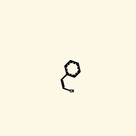 N#C/C=C\c1ccccc1